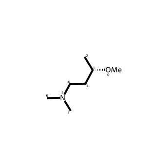 CO[C@@H](C)CCN(C)C